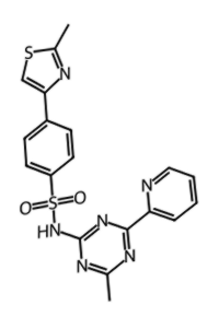 Cc1nc(NS(=O)(=O)c2ccc(-c3csc(C)n3)cc2)nc(-c2ccccn2)n1